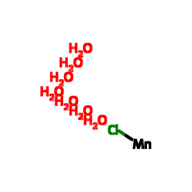 O.O.O.O.O.O.O.[Cl][Mn]